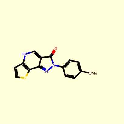 COc1ccc(-n2nc3c4sccc4[nH]cc-3c2=O)cc1